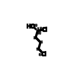 O[C@H](Cl)CCCCl